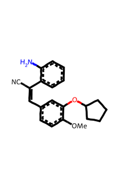 COc1ccc(C=C(C#N)c2ccccc2N)cc1OC1CCCC1